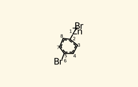 [Br][Zn][c]1ccc(Br)cc1